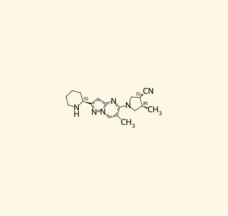 Cc1cn2nc([C@@H]3CCCCN3)cc2nc1N1C[C@@H](C#N)[C@@H](C)C1